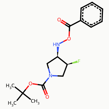 CC(C)(C)OC(=O)N1C[C@H](F)[C@H](NOC(=O)c2ccccc2)C1